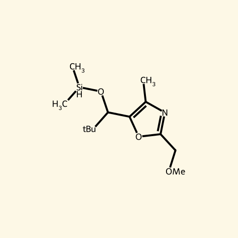 COCc1nc(C)c(C(O[SiH](C)C)C(C)(C)C)o1